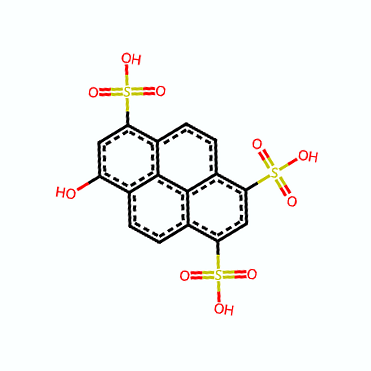 O=S(=O)(O)c1cc(O)c2ccc3c(S(=O)(=O)O)cc(S(=O)(=O)O)c4ccc1c2c34